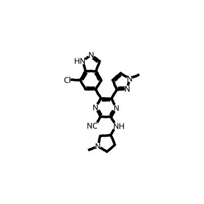 CN1CCC(Nc2nc(-c3ccn(C)n3)c(-c3cc(Cl)c4[nH]ncc4c3)nc2C#N)C1